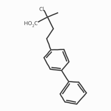 CC(Cl)(CCc1ccc(-c2ccccc2)cc1)C(=O)O